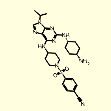 CC(C)n1cnc2c(NC3CCN(S(=O)(=O)c4ccc(C#N)cc4)CC3)nc(N[C@H]3CC[C@H](N)CC3)nc21